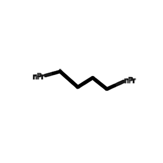 C[CH]C[CH]CCCCCC